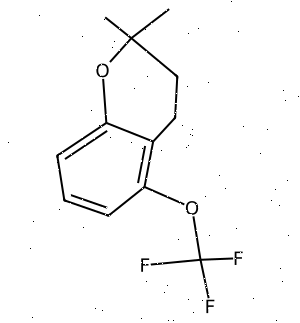 CC1(C)CCc2c(OC(F)(F)F)cccc2O1